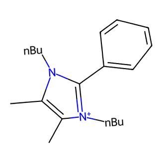 CCCCn1c(C)c(C)[n+](CCCC)c1-c1ccccc1